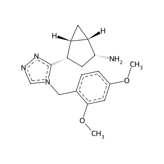 COc1ccc(Cn2cnnc2[C@H]2C[C@@H](N)[C@H]3C[C@H]32)c(OC)c1